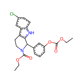 CCOC(=O)Oc1cccc(C2c3[nH]c4ccc(Cl)cc4c3CCN2C(=O)OCC)c1